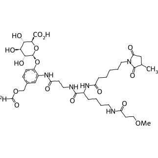 [2H]C(=O)OCc1ccc(O[C@@H]2O[C@H](C(=O)O)[C@@H](O)[C@H](O)[C@H]2O)c(NC(=O)CCNC(=O)C(CCCCNC(=O)CCOC)NC(=O)CCCCCN2C(=O)CC(C)C2=O)c1